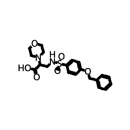 O=C(O)C(CNS(=O)(=O)c1ccc(OCc2ccccc2)cc1)N1CCOCC1